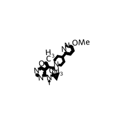 COc1ccc(C2CCN(C(=O)c3c(C)oc4ncnc(N(I)C5(C)CC5)c34)CC2)nn1